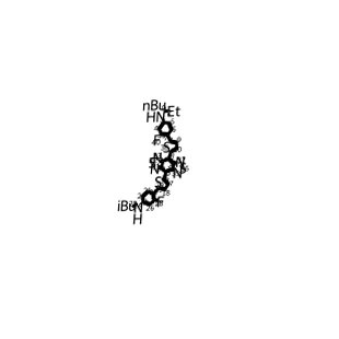 CCCCC(CC)Nc1ccc(-c2ccc(-c3c4c(c(-c5ccc(-c6ccc(NC(C)CC)cc6F)s5)c5nsnc35)N=S=N4)s2)c(F)c1